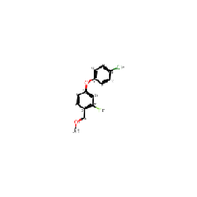 CCOCc1ccc(Oc2ccc(Cl)cc2)cc1F